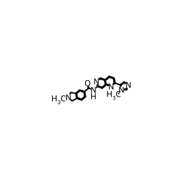 CN1Cc2ccc(C(=O)Nc3cc4nc(-c5cncn5C)ccc4cn3)cc2C1